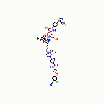 Cc1ncsc1-c1ccc([C@H](C)NC(=O)[C@@H]2C[C@@H](O)CN2C(=O)[C@@H](NC(=O)CCCCN2CCN(c3ccc(C(=O)N[C@H]4C[C@H](Oc5ccc(C#N)c(Cl)c5)C4)cn3)C[C@H]2C)C(C)(C)C)cc1